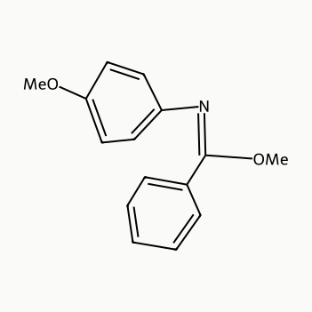 COC(=Nc1ccc(OC)cc1)c1ccccc1